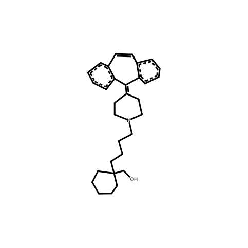 OCC1(CCCCN2CCC(=C3c4ccccc4C=Cc4ccccc43)CC2)CCCCC1